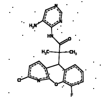 CC(C)(C(=O)Nc1ncncc1N)C1c2ccc(Cl)nc2Oc2c(F)cccc21